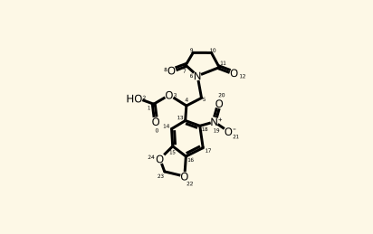 O=C(O)OC(CN1C(=O)CCC1=O)c1cc2c(cc1[N+](=O)[O-])OCO2